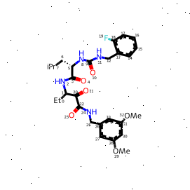 CCC(NC(=O)[C@H](CC(C)C)NC(=O)NCc1ccccc1F)C(=O)C(=O)NCc1cc(OC)cc(OC)c1